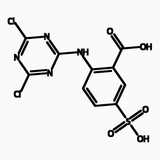 O=C(O)c1cc(S(=O)(=O)O)ccc1Nc1nc(Cl)nc(Cl)n1